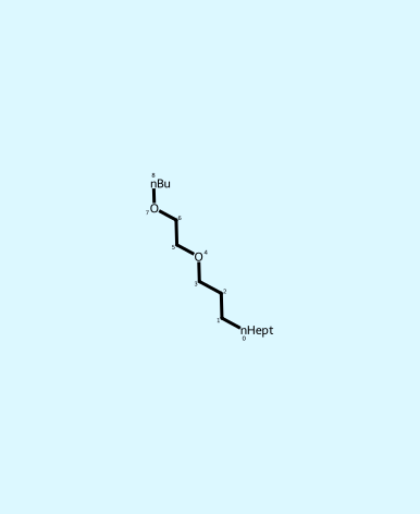 [CH2]CCCCCCCCCOCCOCCCC